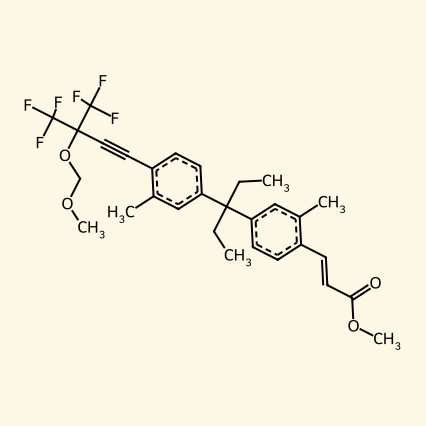 CCC(CC)(c1ccc(C#CC(OCOC)(C(F)(F)F)C(F)(F)F)c(C)c1)c1ccc(C=CC(=O)OC)c(C)c1